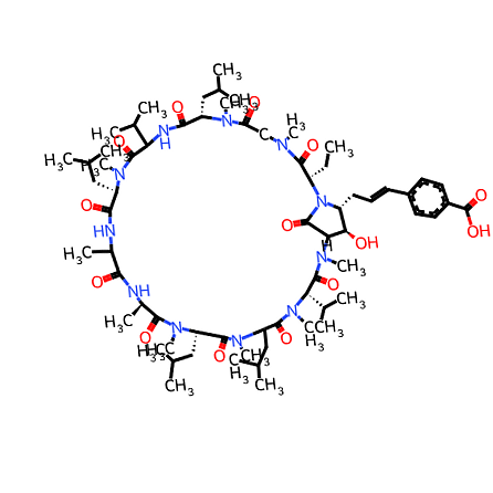 CC[C@H]1C(=O)N(C)CC(=O)N(C)[C@@H](CC(C)C)C(=O)NC(C(C)C)C(=O)N(C)[C@@H](CC(C)C)C(=O)NC(C)C(=O)N[C@H](C)C(=O)N(C)[C@@H](CC(C)C)C(=O)N(C)C(CC(C)C)C(=O)N(C)[C@@H](C(C)C)C(=O)N(C)[C@@H]2C(=O)N1[C@H](C/C=C/c1ccc(C(=O)O)cc1)[C@H]2O